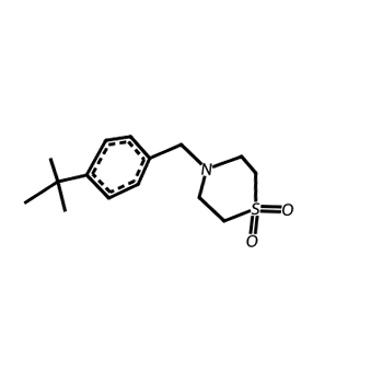 CC(C)(C)c1ccc(CN2CCS(=O)(=O)CC2)cc1